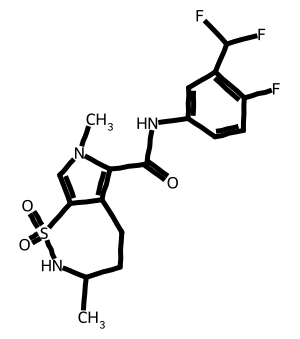 CC1CCc2c(cn(C)c2C(=O)Nc2ccc(F)c(C(F)F)c2)S(=O)(=O)N1